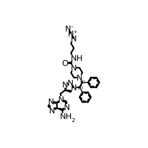 [N-]=[N+]=NCCCNC(=O)N1CCN([C@@H](c2ccccc2)[C@@H](c2ccccc2)n2cc(Cn3cnc(N)c4ncnc3-4)nn2)CC1